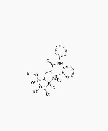 CCOP(=O)(OCC)C(CC(C(=O)Nc1ccccc1)C(=O)c1ccccc1)P(=O)(OCC)OCC